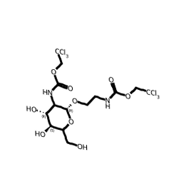 O=C(NCCO[C@@H]1OC(CO)[C@@H](O)[C@H](O)C1NC(=O)OCC(Cl)(Cl)Cl)OCC(Cl)(Cl)Cl